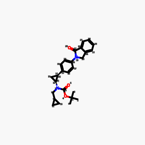 CC(C)(C)OC(=O)N(CC1CC1)[C@@H]1C[C@H]1c1ccc(N2Cc3ccccc3C2=O)cc1